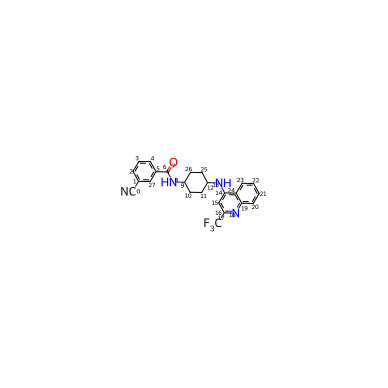 N#Cc1cccc(C(=O)NC2CCC(Nc3cc(C(F)(F)F)nc4ccccc34)CC2)c1